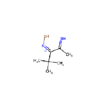 CC(=N)/C(=N\S)C(C)(C)C